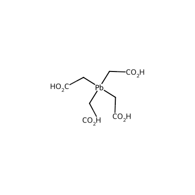 O=C(O)[CH2][Pb]([CH2]C(=O)O)([CH2]C(=O)O)[CH2]C(=O)O